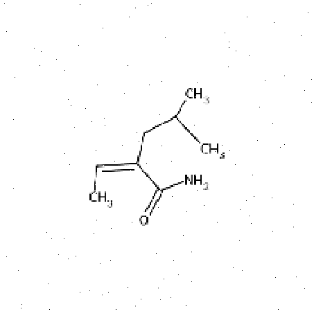 CC=C(CC(C)C)C(N)=O